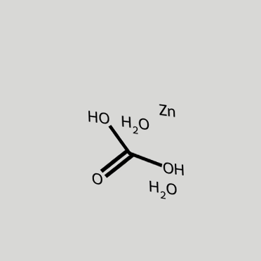 O.O.O=C(O)O.[Zn]